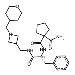 NC(=O)C1(C(=O)N[C@H](Cc2ccccc2)C(=O)NCC2CN(CC3CCOCC3)C2)CCCC1